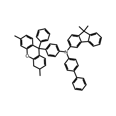 Cc1ccc2c(c1)OC1=C(C=CC(C)C1)C2(c1ccccc1)c1ccc(N(c2ccc(-c3ccccc3)cc2)c2ccc3c(c2)-c2ccccc2C3(C)C)cc1